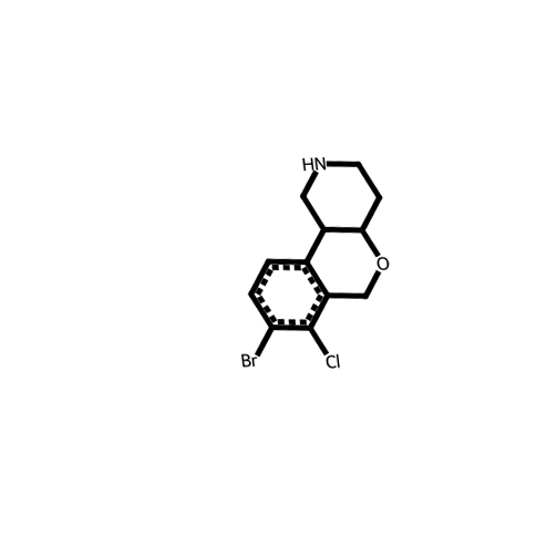 Clc1c(Br)ccc2c1COC1CCNCC21